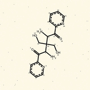 NC(C(=O)c1ccccn1)C(CO)(CO)C(N)C(=O)c1ccccn1